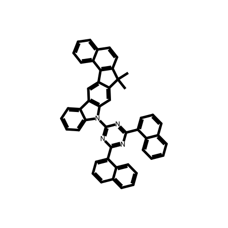 CC1(C)c2cc3c(cc2-c2c1ccc1ccccc21)c1ccccc1n3-c1nc(-c2cccc3ccccc23)nc(-c2cccc3ccccc23)n1